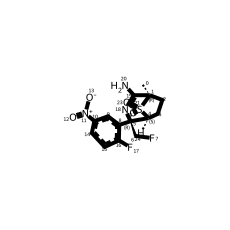 C[C@@]12CC[C@@H]([C@](CF)(c3cc([N+](=O)[O-])ccc3F)N=C1N)S2(=O)=O